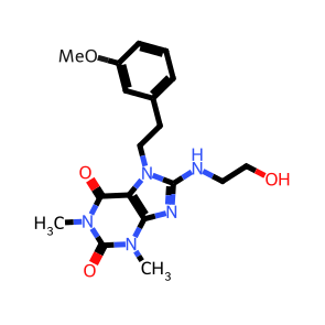 COc1cccc(CCn2c(NCCO)nc3c2c(=O)n(C)c(=O)n3C)c1